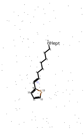 CCCCCCCCCCCCC/C=C/c1cccs1